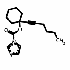 CCCCC#CC1(OC(=O)n2ccnc2)CCCCC1